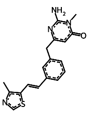 Cc1ncsc1C=Cc1cccc(Cc2cc(=O)n(C)c(N)n2)c1